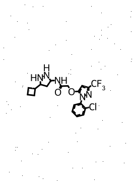 O=C(COc1cc(C(F)(F)F)nn1-c1ccccc1Cl)NC1CC(C2CCC2)NN1